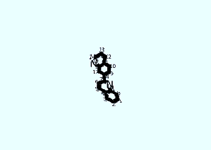 [c]1cccc2ccc(-c3ccc4cccnc4c3)nc12